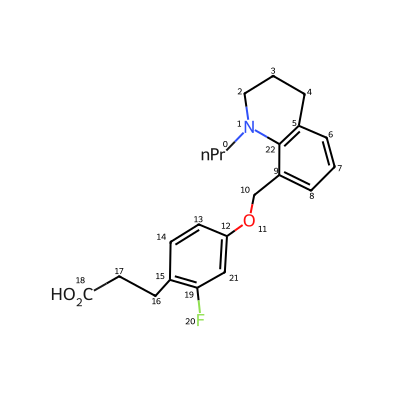 CCCN1CCCc2cccc(COc3ccc(CCC(=O)O)c(F)c3)c21